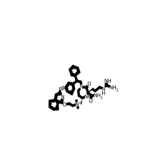 CCCCc1cc2ccccc2c(OCC[N+](C)(C)C[C@@H]2CCN(CC(c3ccccc3)c3ccccc3)C(=O)[C@](CCCNC(=N)N)(C(N)=O)N2)n1